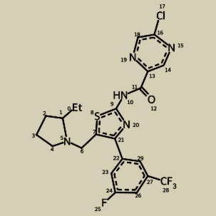 CCC1CCCN1Cc1sc(NC(=O)c2cnc(Cl)cn2)nc1-c1cc(F)cc(C(F)(F)F)c1